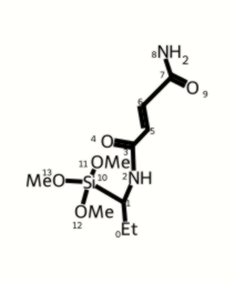 CCC(NC(=O)C=CC(N)=O)[Si](OC)(OC)OC